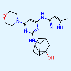 Cc1cc(Nc2cc(N3CCOCC3)nc(NC3C4CC5CC3C(O)(C5)C4)n2)n[nH]1